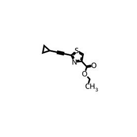 CCOC(=O)c1csc(C#CC2CC2)n1